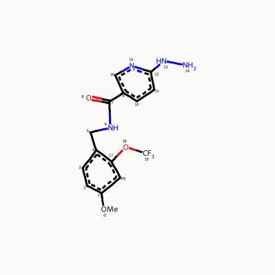 COc1ccc(CNC(=O)c2ccc(NN)nc2)c(OC(F)(F)F)c1